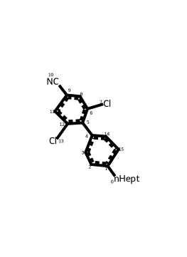 CCCCCCCc1ccc(-c2c(Cl)cc(C#N)cc2Cl)cc1